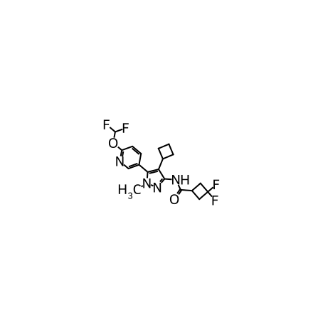 Cn1nc(NC(=O)C2CC(F)(F)C2)c(C2CCC2)c1-c1ccc(OC(F)F)nc1